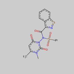 CC(C)S(=O)(=O)N(C(=O)c1nsc2ccccc12)n1c(=O)cc(C(F)(F)F)n(C)c1=O